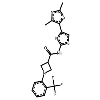 Cc1nc(C)c(-c2csc(NC(=O)C3CN(c4ccccc4C(F)(F)F)C3)n2)s1